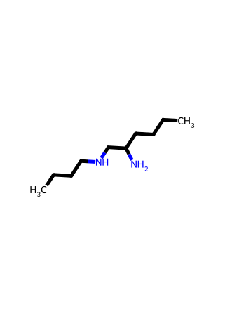 CCCCNCC(N)CCCC